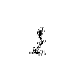 CCC(C)(C)CC(C(=O)OCOC(=O)CC(=O)OCCC(F)(F)C(F)(F)C(F)(F)C(F)(F)F)C(C)(C)C